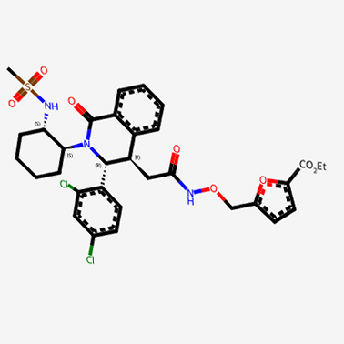 CCOC(=O)c1ccc(CONC(=O)C[C@@H]2c3ccccc3C(=O)N([C@H]3CCCC[C@@H]3NS(C)(=O)=O)[C@H]2c2ccc(Cl)cc2Cl)o1